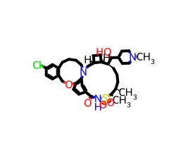 C[C@@H]1[C@@H](C)CCC[C@H]([C@@H](O)C2CCN(C)CC2)[C@@H]2CC[C@H]2CN2CCCCc3cc(Cl)ccc3COc3ccc(cc32)C(=O)NS1(=O)=O